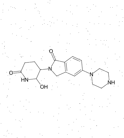 O=C1CCC(N2Cc3cc(N4CCNCC4)ccc3C2=O)C(O)N1